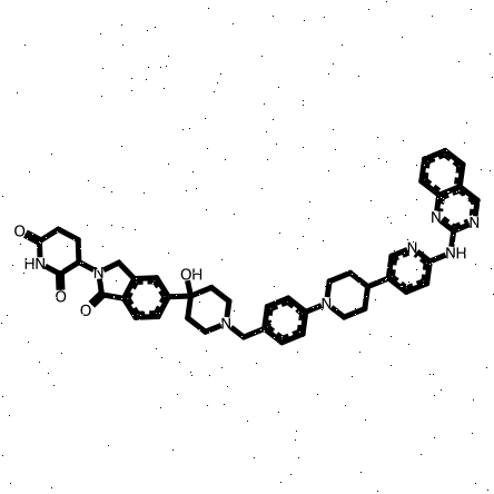 O=C1CCC(N2Cc3cc(C4(O)CCN(Cc5ccc(N6CCC(c7ccc(Nc8ncc9ccccc9n8)nc7)CC6)cc5)CC4)ccc3C2=O)C(=O)N1